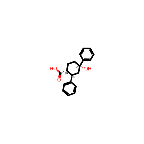 O=C(O)[C@@H]1CC[C@@](O)(c2ccccc2)C[C@H]1c1ccccc1